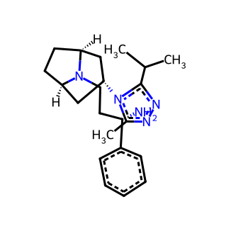 Cc1nnc(C(C)C)n1[C@@H]1C[C@H]2CC[C@@H](C1)N2CC[C@H](N)c1ccccc1